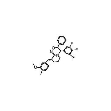 COc1cc(/C=C2\CCCN3C2=NOC(c2ccccc2)[C@@H]3c2cc(F)c(F)c(F)c2)ccc1C